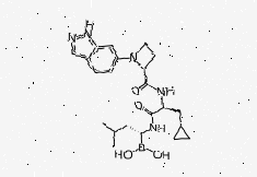 CC(C)C[C@H](NC(=O)[C@H](CC1CC1)NC(=O)[C@@H]1CCN1c1ccc2cn[nH]c2c1)B(O)O